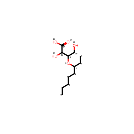 CCCCCC(CC)OC(CO)C(O)C(=O)O